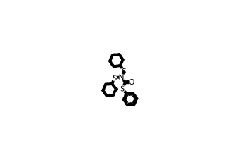 O=C(Sc1ccccc1)N(SC1CCCCC1)SC1CCCCC1